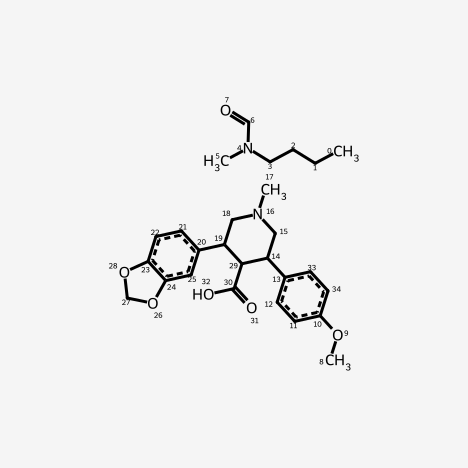 CCCCN(C)C=O.COc1ccc(C2CN(C)CC(c3ccc4c(c3)OCO4)C2C(=O)O)cc1